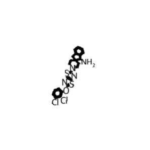 N[C@@H]1c2ccccc2CC12CCN(c1nc3sc(Oc4cccc(Cl)c4Cl)nc3s1)CC2